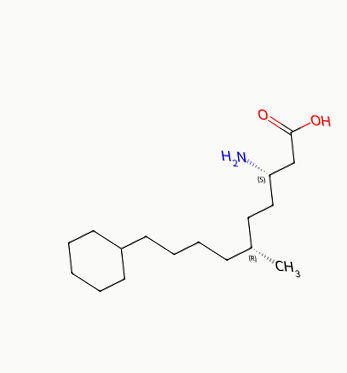 C[C@H](CCCCC1CCCCC1)CC[C@H](N)CC(=O)O